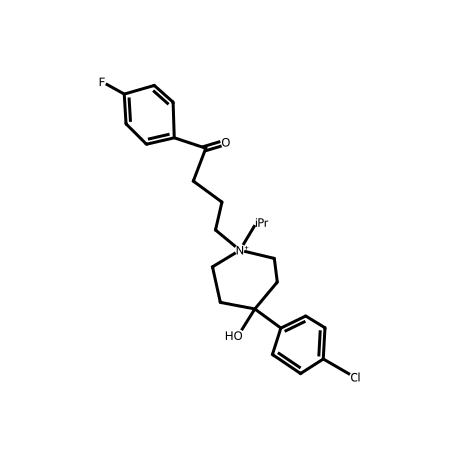 CC(C)[N+]1(CCCC(=O)c2ccc(F)cc2)CCC(O)(c2ccc(Cl)cc2)CC1